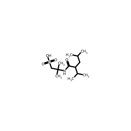 CC(C)CC(C(=O)NC(C)(C)CS(=O)(=O)O)C(C)C